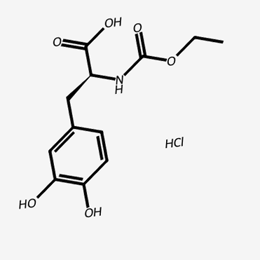 CCOC(=O)N[C@@H](Cc1ccc(O)c(O)c1)C(=O)O.Cl